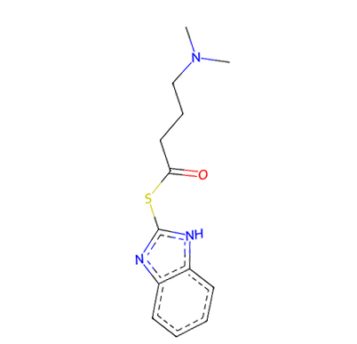 CN(C)CCCC(=O)Sc1nc2ccccc2[nH]1